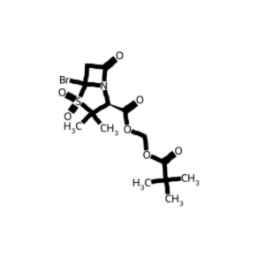 CC(C)(C)C(=O)OCOC(=O)[C@@H]1N2C(=O)CC2(Br)S(=O)(=O)C1(C)C